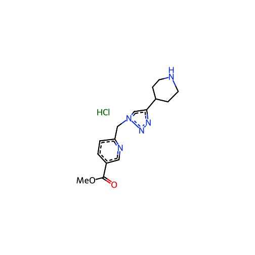 COC(=O)c1ccc(Cn2cc(C3CCNCC3)nn2)nc1.Cl